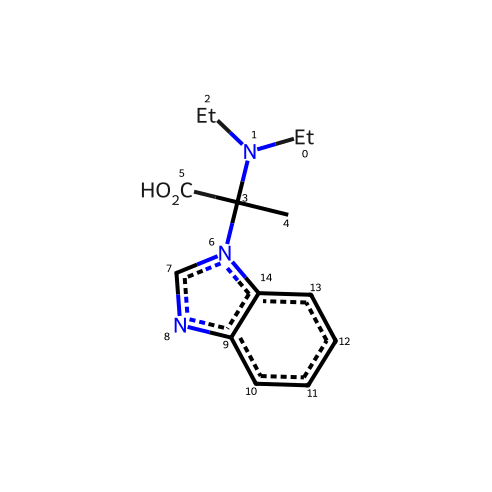 CCN(CC)C(C)(C(=O)O)n1cnc2ccccc21